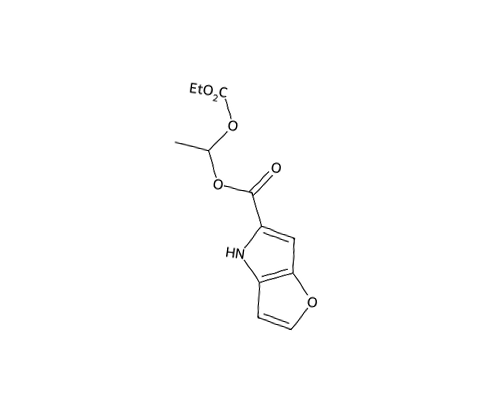 CCOC(=O)OC(C)OC(=O)c1cc2occc2[nH]1